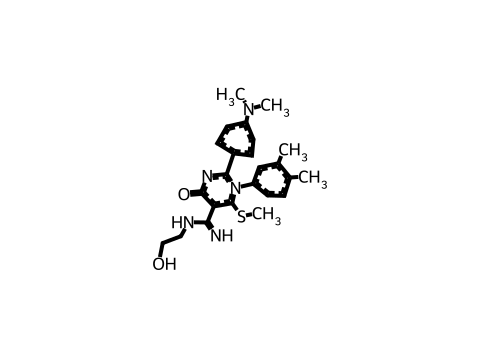 CSc1c(C(=N)NCCO)c(=O)nc(-c2ccc(N(C)C)cc2)n1-c1ccc(C)c(C)c1